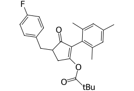 Cc1cc(C)c(C2=C(OC(=O)C(C)(C)C)CC(Cc3ccc(F)cc3)C2=O)c(C)c1